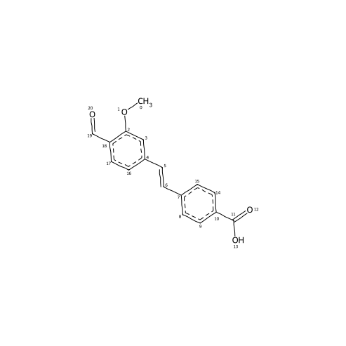 COc1cc(C=Cc2ccc(C(=O)O)cc2)ccc1C=O